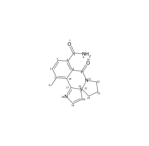 Cc1ccc(C(N)=O)c(C(=O)N2CCCC2)c1-c1nccs1